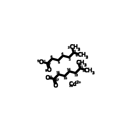 CC(C)CCCCC(=O)[O-].CC(C)CCCCC(=O)[O-].[Cd+2]